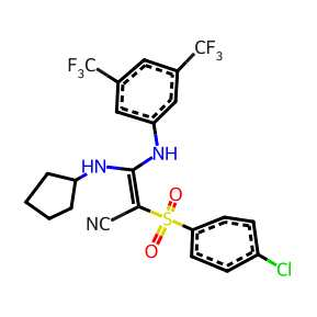 N#CC(=C(Nc1cc(C(F)(F)F)cc(C(F)(F)F)c1)NC1CCCC1)S(=O)(=O)c1ccc(Cl)cc1